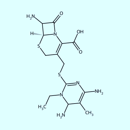 CCN1C(SCC2=C(C(=O)O)N3C(=O)C(N)[C@@H]3SC2)=NC(N)=C(C)C1N